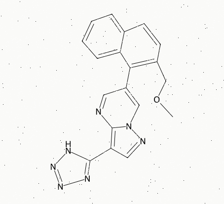 COCc1ccc2ccccc2c1-c1cnc2c(-c3nnn[nH]3)cnn2c1